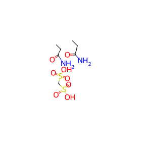 CCC(N)=O.CCC(N)=O.O=S(=O)(O)CS(=O)(=O)O